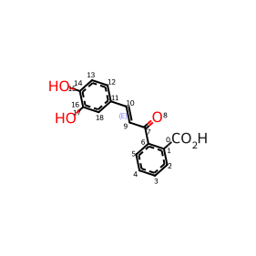 O=C(O)c1ccccc1C(=O)/C=C/c1ccc(O)c(O)c1